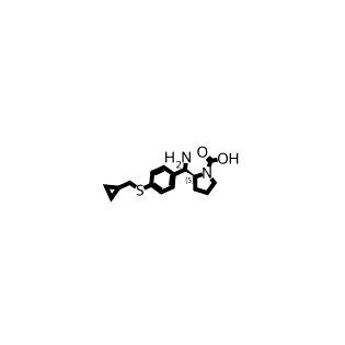 NC(c1ccc(SCC2CC2)cc1)[C@@H]1CCCN1C(=O)O